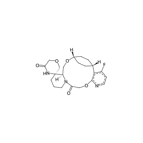 O=C1COC[C@]2(CCCN3C(=O)COc4nccc(F)c4[C@H]4CC[C@H](CC4)OC[C@@H]32)N1